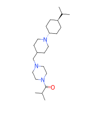 CC(C)C(=O)N1CCN(CC2CCN([C@H]3CC[C@H](C(C)C)CC3)CC2)CC1